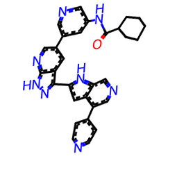 O=C(Nc1cncc(-c2cnc3[nH]nc(-c4cc5c(-c6ccncc6)cncc5[nH]4)c3c2)c1)C1CCCCC1